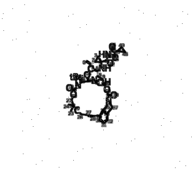 C=C[C@@H]1C[C@]1(NC(=O)[C@@H]1C[C@@H]2CN1C(=O)[C@H](C(C)(C)C)NC(=O)OCC(C)(C)CC/C=C/c1cccc3c1CN(C3)C(=O)O2)C(=O)NS(=O)(=O)C1CC1